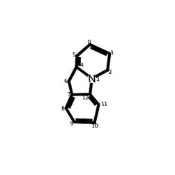 C1=CCN2C(=C1)Cc1ccccc12